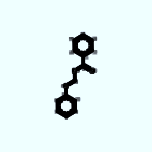 O=C(OCOc1ccccc1)c1ccccc1